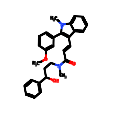 COc1cccc(-c2c(C=CC(=O)N(C)CCC(O)c3ccccc3)c3ccccc3n2C)c1